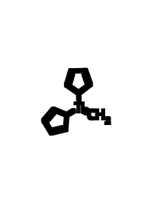 [CH2]=[Ti]([CH]1C=CC=C1)[CH]1C=CC=C1